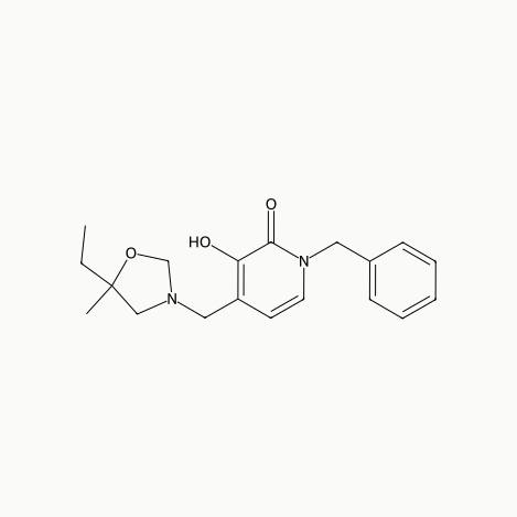 CCC1(C)CN(Cc2ccn(Cc3ccccc3)c(=O)c2O)CO1